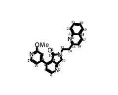 COc1cc(-c2ccnc3c2C(=O)N(CCc2ccc4ccccc4n2)C3)ccn1